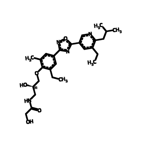 CCc1cc(-c2nc(-c3cc(C)c(OC[C@@H](O)CNC(=O)CO)c(CC)c3)no2)cnc1CC(C)C